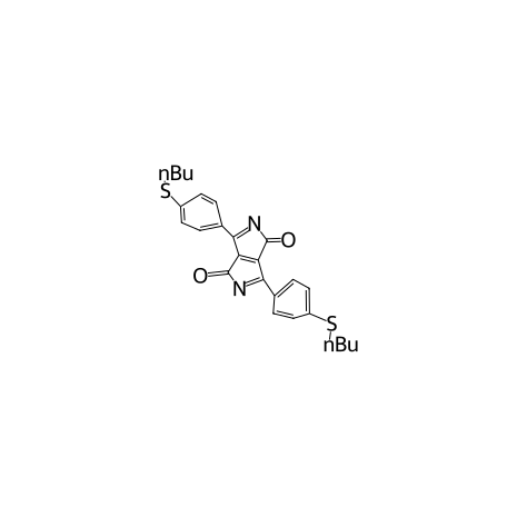 CCCCSc1ccc(-c2nc(=O)c3c(-c4ccc(SCCCC)cc4)nc(=O)c2=3)cc1